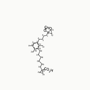 Cc1cc(CCCCC2(OC=O)CC2)c(C)c(CCCCCCC2(C(=O)O)CC2)c1C